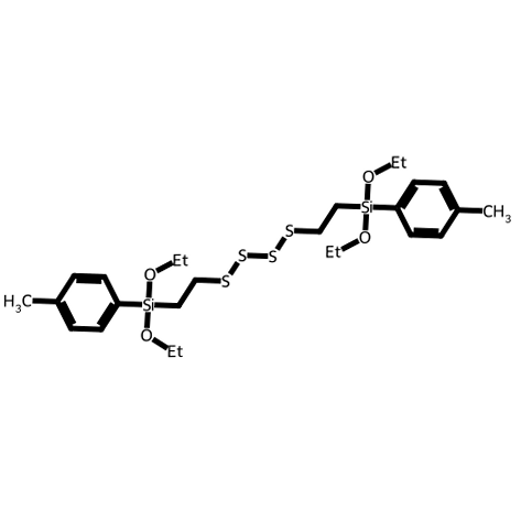 CCO[Si](CCSSSSCC[Si](OCC)(OCC)c1ccc(C)cc1)(OCC)c1ccc(C)cc1